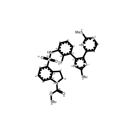 CSc1nccc(-c2sc(C(C)(C)C)nc2-c2cccc(NS(=O)(=O)c3cccc4c3CCN4C(=O)OC(C)(C)C)c2F)n1